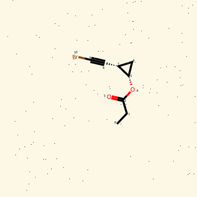 CCC(=O)O[C@H]1C[C@H]1C#CBr